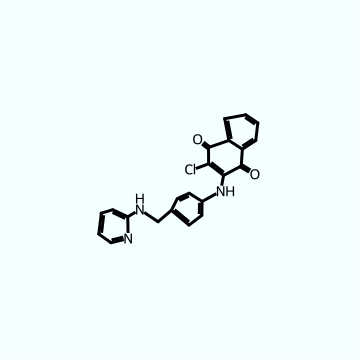 O=C1C(Cl)=C(Nc2ccc(CNc3ccccn3)cc2)C(=O)c2ccccc21